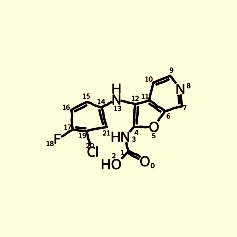 O=C(O)Nc1oc2cnccc2c1Nc1ccc(F)c(Cl)c1